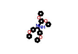 c1ccc(Oc2ccc(-c3nc(-c4cc(Oc5ccccc5)cc(Oc5ccccc5)c4)[nH]c3-c3ccc(Oc4ccccc4)cc3)cc2)cc1